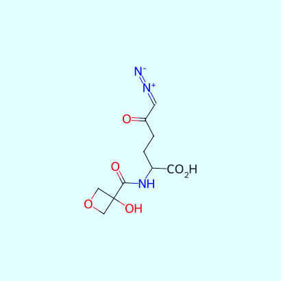 [N-]=[N+]=CC(=O)CCC(NC(=O)C1(O)COC1)C(=O)O